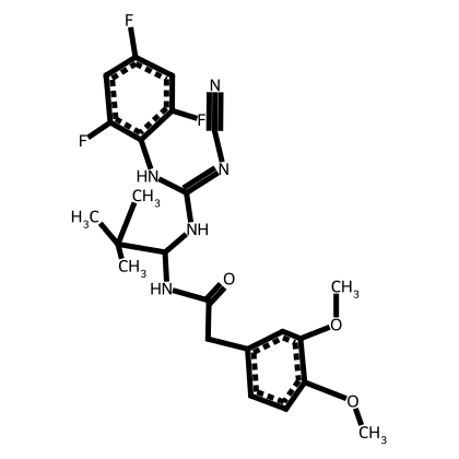 COc1ccc(CC(=O)NC(N/C(=N/C#N)Nc2c(F)cc(F)cc2F)C(C)(C)C)cc1OC